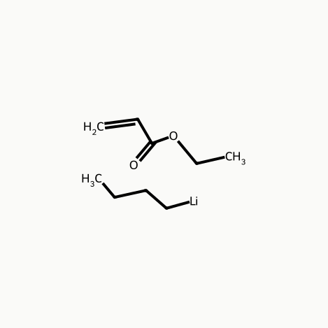 C=CC(=O)OCC.[Li][CH2]CCC